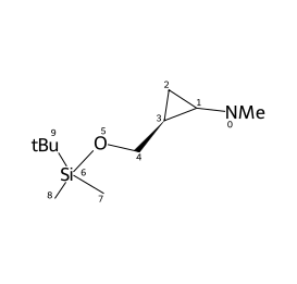 CNC1C[C@@H]1CO[Si](C)(C)C(C)(C)C